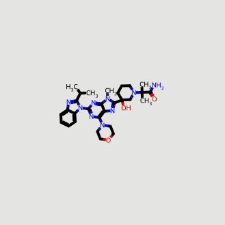 CC(C)c1nc2ccccc2n1-c1nc(N2CCOCC2)c2nc(C3(O)CCCN(C(C)(C)C(N)=O)C3)n(C)c2n1